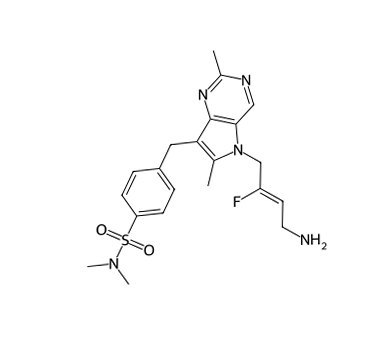 Cc1ncc2c(n1)c(Cc1ccc(S(=O)(=O)N(C)C)cc1)c(C)n2C/C(F)=C/CN